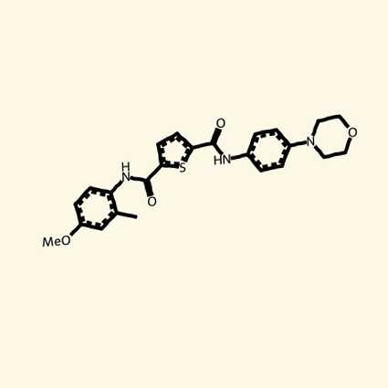 COc1ccc(NC(=O)c2ccc(C(=O)Nc3ccc(N4CCOCC4)cc3)s2)c(C)c1